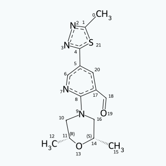 Cc1nnc(-c2cnc(N3C[C@@H](C)O[C@@H](C)C3)c(C=O)c2)s1